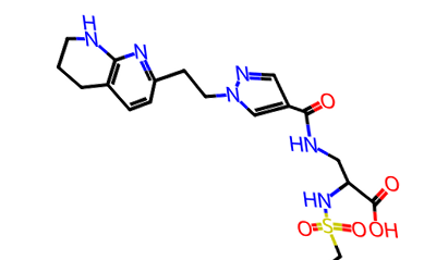 CCS(=O)(=O)NC(CNC(=O)c1cnn(CCc2ccc3c(n2)NCCC3)c1)C(=O)O